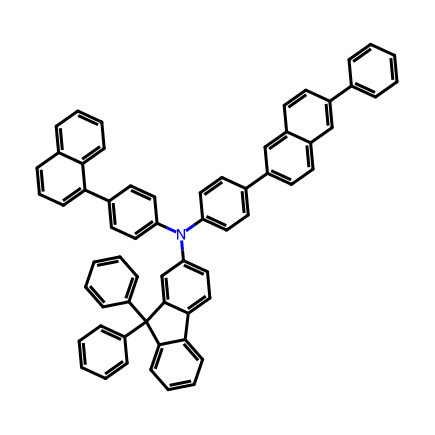 c1ccc(-c2ccc3cc(-c4ccc(N(c5ccc(-c6cccc7ccccc67)cc5)c5ccc6c(c5)C(c5ccccc5)(c5ccccc5)c5ccccc5-6)cc4)ccc3c2)cc1